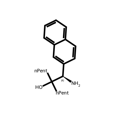 CCCCCC(O)(CCCCC)[C@H](N)c1ccc2ccccc2c1